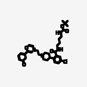 CC(C)(C)OC(=O)NCCCCNC(=O)c1cc(Cl)ccc1C1CCN(CCN2C=COC(C3=CC=CC(=O)C3)=C2)CC1